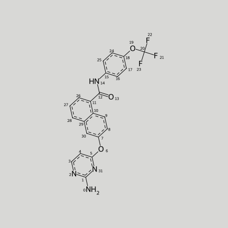 Nc1nccc(Oc2ccc3c(C(=O)Nc4ccc(OC(F)(F)F)cc4)cccc3c2)n1